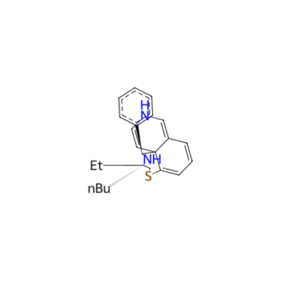 CCCC[C@@]1(CC)CSC2=CC=CC3=CNC=CC32[C@H](c2ccccc2)N1